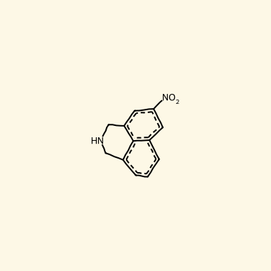 O=[N+]([O-])c1cc2c3c(cccc3c1)CNC2